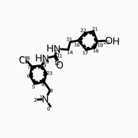 CN(C)Cc1ccc(Cl)c(NC(=O)NCCc2ccc(O)cc2)c1